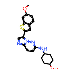 COc1ccc2cc(-c3cnc4ccc(NC5CCC(O)CC5)nn34)sc2c1